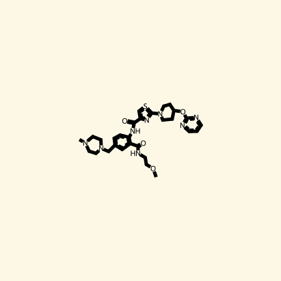 COCCNC(=O)c1cc(CN2CCN(C)CC2)ccc1NC(=O)c1csc(N2CCC(Oc3ncccn3)CC2)n1